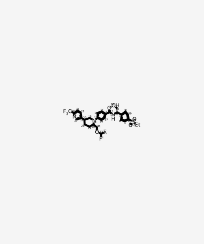 CCS(=O)(=O)c1ccc([C@H](CO)NC(=O)c2ccc(N3CC(c4ccc(C(F)(F)F)nc4)CCC3COC(F)F)cc2)cc1